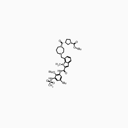 COc1c(NC(=O)c2cc3cccc(CN4CCCN(C(=O)[C@@H]5CCN(C(=O)OC(C)(C)C)C5)CC4)c3n2C)cc(C(C)(C)C)cc1NS(C)(=O)=O